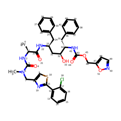 CC(C)[C@H](NC(=O)N(C)Cc1csc(-c2ccccc2Cl)n1)C(=O)N[C@@H](Cc1ccccc1)C[C@H](O)[C@H](Cc1ccccc1)NC(=O)OCc1ccno1